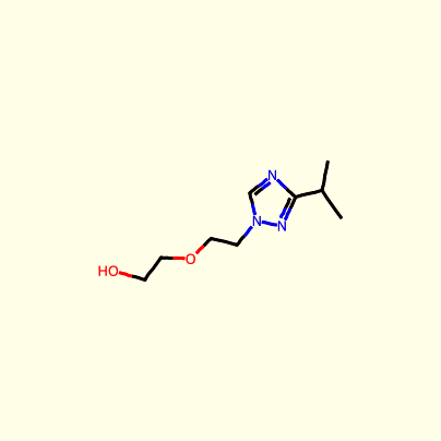 CC(C)c1ncn(CCOCCO)n1